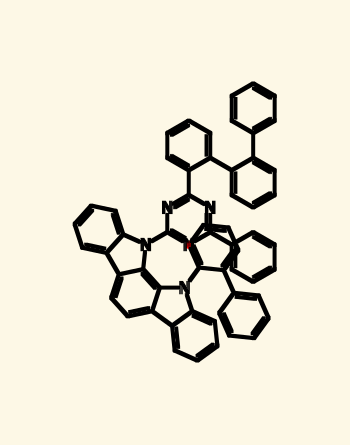 c1ccc(-c2nc(-c3ccccc3-c3ccccc3-c3ccccc3)nc(-n3c4ccccc4c4ccc5c6ccccc6n(-c6ccccc6-c6ccccc6)c5c43)n2)cc1